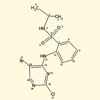 CC(C)NS(=O)(=O)c1ccccc1Nc1nc(Cl)ncc1Br